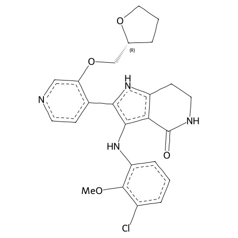 COc1c(Cl)cccc1Nc1c(-c2ccncc2OC[C@H]2CCCO2)[nH]c2c1C(=O)NCC2